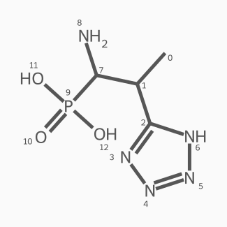 CC(c1nnn[nH]1)C(N)P(=O)(O)O